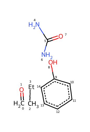 C=O.CCC.NC(N)=O.Oc1ccccc1